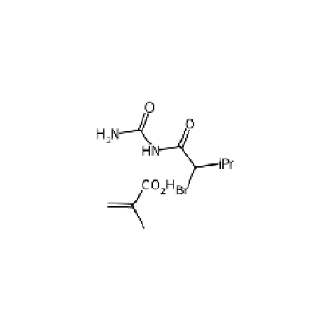 C=C(C)C(=O)O.CC(C)C(Br)C(=O)NC(N)=O